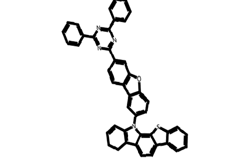 C1=Cc2c(c3ccc4c5ccccc5sc4c3n2-c2ccc3oc4cc(-c5nc(-c6ccccc6)nc(-c6ccccc6)n5)ccc4c3c2)CC1